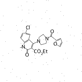 CCOC(=O)c1c(N2CCN(C(=O)c3ccco3)CC2)c2cc(Cl)ccc2n(C)c1=O